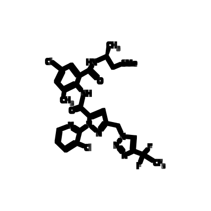 CSC[C@H](C)NC(=O)c1cc(Cl)cc(C)c1NC(=O)c1cc(Cn2cc(C(F)(F)C(F)(F)F)nn2)nn1-c1ncccc1Cl